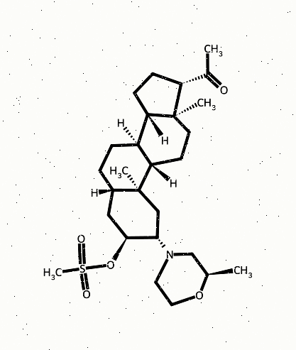 CC(=O)[C@H]1CC[C@H]2[C@@H]3CC[C@H]4C[C@H](OS(C)(=O)=O)[C@@H](N5CCO[C@H](C)C5)C[C@]4(C)[C@H]3CC[C@]12C